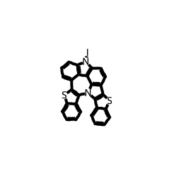 In1c2cccc3c4sc5ccccc5c4n4c5c6ccccc6sc5c5ccc1c(c32)c54